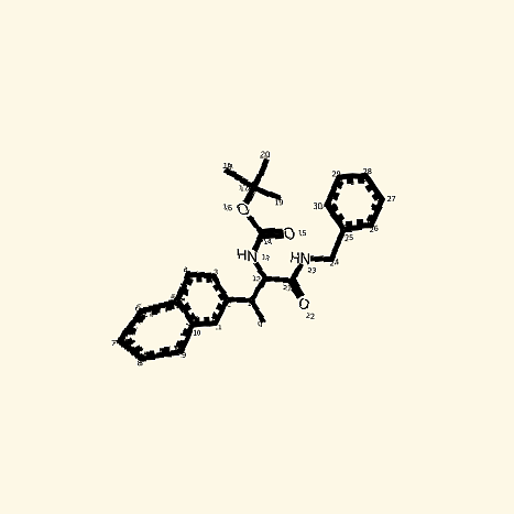 CC(c1ccc2ccccc2c1)C(NC(=O)OC(C)(C)C)C(=O)NCc1ccccc1